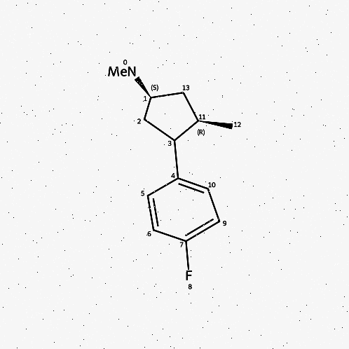 CN[C@@H]1CC(c2ccc(F)cc2)[C@H](C)C1